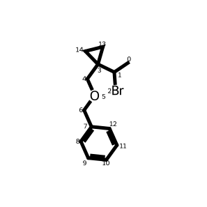 CC(Br)C1(COCc2ccccc2)CC1